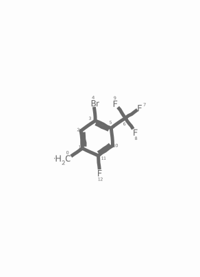 [CH2]c1cc(Br)c(C(F)(F)F)cc1F